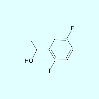 CC(O)c1cc(F)ccc1I